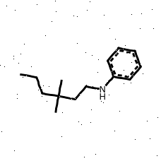 CCCC(C)(C)CCNc1ccccc1